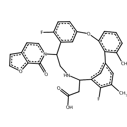 Cc1cc2cc(c1F)C(CC(=O)O)NCC(n1ccc3ccoc3c1=O)c1cc(ccc1F)Oc1cccc(C)c1-2